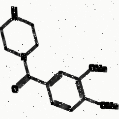 COc1ccc(C(=O)N2CCNCC2)cc1OC